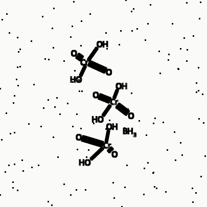 B.[O]=[Cr](=[O])([OH])[OH].[O]=[Cr](=[O])([OH])[OH].[O]=[Cr](=[O])([OH])[OH]